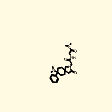 CN(C)C(=O)CNC(=O)CN1CC2(CCC(c3ccccc3)(N(C)C)CC2)CC1=O